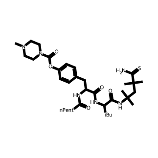 CCCCCC(=O)NC(Cc1ccc(OC(=O)N2CCN(C)CC2)cc1)C(=O)NC(C(=O)NC(C)(C)CC(C)(C)C(N)=S)C(C)CC